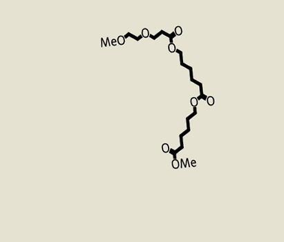 COCCOCCC(=O)OCCCCCC(=O)OCCCCCC(=O)OC